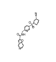 N#Cc1cccc(S(=O)(=O)c2ccc(CNC(=O)c3cc4cnccc4o3)nc2)c1